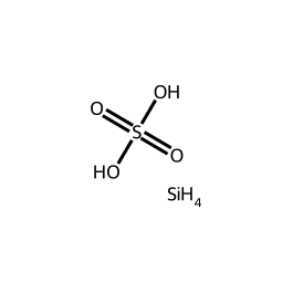 O=S(=O)(O)O.[SiH4]